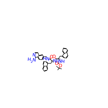 CC(C)(C)OC(=O)N[C@H](Cc1cccc2ccccc12)C(=O)N[C@@H](Cc1cccc2ccccc12)C(=O)NCc1ccc2c(N)nccc2c1